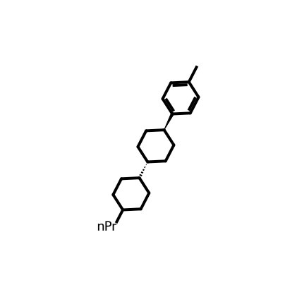 CCCC1CCC([C@H]2CC[C@H](c3ccc(C)cc3)CC2)CC1